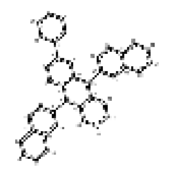 c1ccc(-c2ccc3c(-c4ccc5ccccc5c4)c4cnccc4c(-c4ccc5ccccc5c4)c3c2)cc1